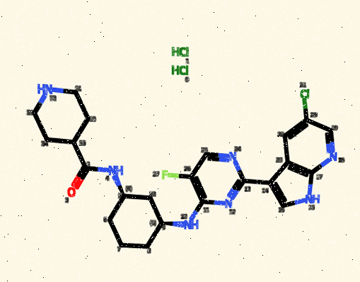 Cl.Cl.O=C(N[C@@H]1CCC[C@H](Nc2nc(-c3c[nH]c4ncc(Cl)cc34)ncc2F)C1)C1CCNCC1